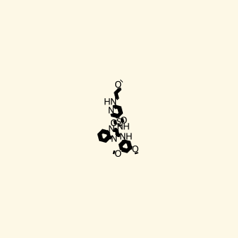 COCCCNc1ccc(S(=O)(=O)Nc2nc3ccccc3nc2Nc2cc(OC)cc(OC)c2)cn1